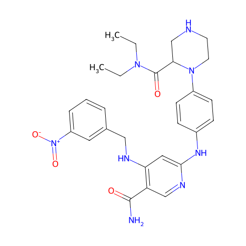 CCN(CC)C(=O)C1CNCCN1c1ccc(Nc2cc(NCc3cccc([N+](=O)[O-])c3)c(C(N)=O)cn2)cc1